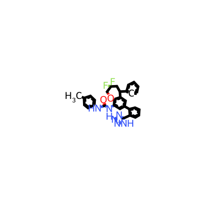 Cc1ccc(NC(=O)Nc2cc(-c3ccccc3-c3nnn[nH]3)cc3c2OCC(F)(F)CC3c2ccccc2)cc1